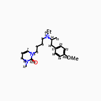 CCN(CCCCN1C=CCN(C)C1=O)C(C)Cc1ccc(OC)cc1